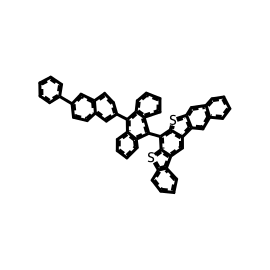 c1ccc(-c2ccc3cc(-c4c5ccccc5c(-c5c6sc7ccccc7c6cc6c5sc5cc7ccccc7cc56)c5ccccc45)ccc3c2)cc1